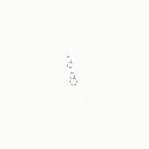 CCCOc1ccc2nc(-c3cn4nc(CC)sc4n3)oc2c1